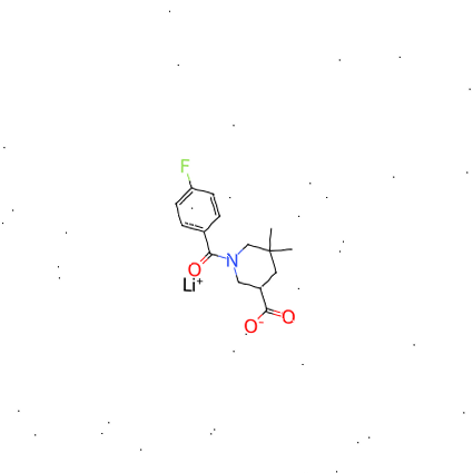 CC1(C)CC(C(=O)[O-])CN(C(=O)c2ccc(F)cc2)C1.[Li+]